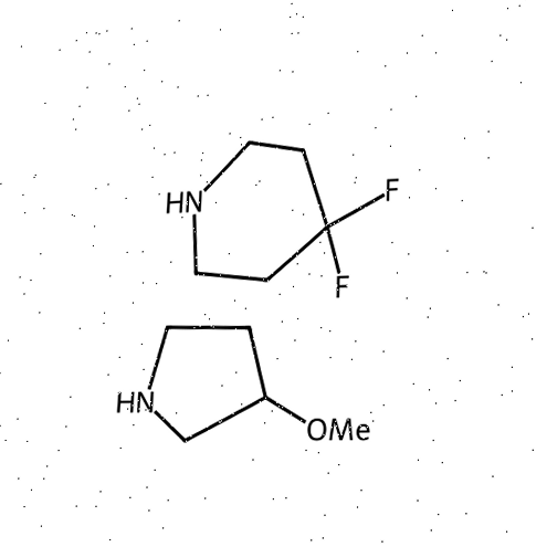 COC1CCNC1.FC1(F)CCNCC1